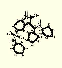 O=C1Nc2ccc(S(=O)(=O)Nc3ccccc3)cc2/C1=C(/Nc1ccccc1)c1ccccc1